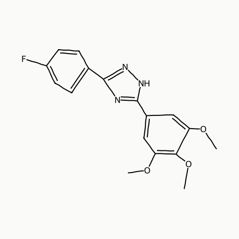 COc1cc(-c2nc(-c3ccc(F)cc3)n[nH]2)cc(OC)c1OC